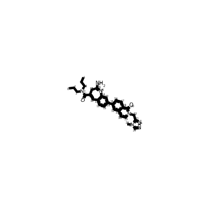 CCCN(CCC)C(=O)C1=Cc2ccc(-c3ccc4c(=O)n(Cc5nncn5C)ccc4c3)cc2N=C(N)C1